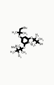 CSC(C)(C)C(C)(C)Oc1cc(OC(C)(C)CC(C)(C)C)cc(OC(C)(C)C(C)(C)S)c1